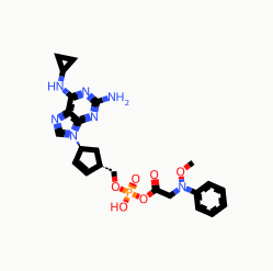 CON(CC(=O)OP(=O)(O)OC[C@@H]1C=C[C@H](n2cnc3c(NC4CC4)nc(N)nc32)C1)c1ccccc1